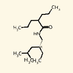 CCCC(CCC)C(=O)NC[C@H](CC)CC(C)C